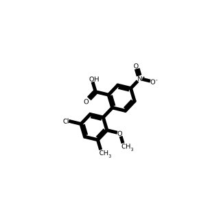 COc1c(C)cc(Cl)cc1-c1ccc([N+](=O)[O-])cc1C(=O)O